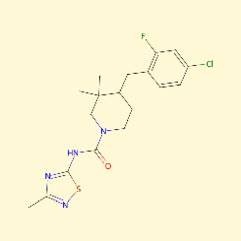 Cc1nsc(NC(=O)N2CCC(Cc3ccc(Cl)cc3F)C(C)(C)C2)n1